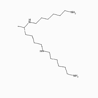 CC(CCCCNCCCCCCN)NCCCCCCN